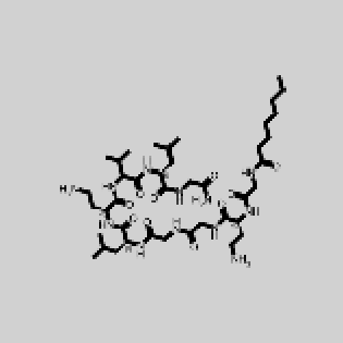 CCCCCCCC(=O)NCC(=O)N[C@@H](CCN)C(=O)NCC(=O)NCC(=O)N[C@@H](CC(C)C)C(=O)N[C@@H](CCN)C(=O)NC(C(=O)N[C@@H](CC(C)C)C(=O)NCC(N)=O)C(C)C